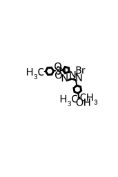 Cc1ccc(S(=O)(=O)n2ccc3c2ncc2c(-c4ccc(C(C)(C)O)cc4)nc(Br)n23)cc1